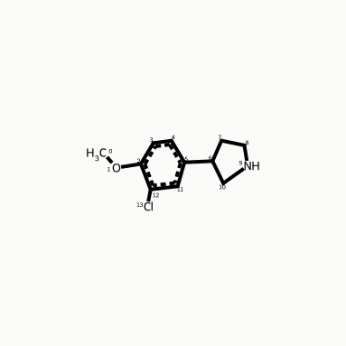 COc1ccc(C2CCNC2)cc1Cl